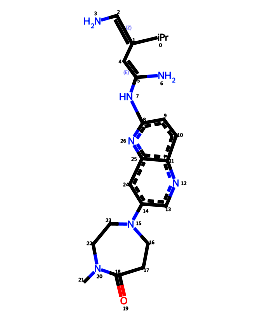 CC(C)C(=C/N)/C=C(\N)Nc1ccc2ncc(N3CCC(=O)N(C)CC3)cc2n1